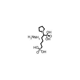 N.N.O=P(O)(O)CCCCC(N1CCCC1)P(=O)(O)O